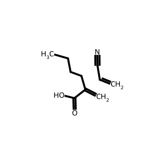 C=C(CCCC)C(=O)O.C=CC#N